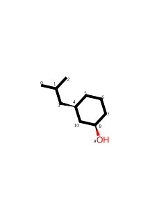 CC(C)C[C@H]1CCC[C@@H](O)C1